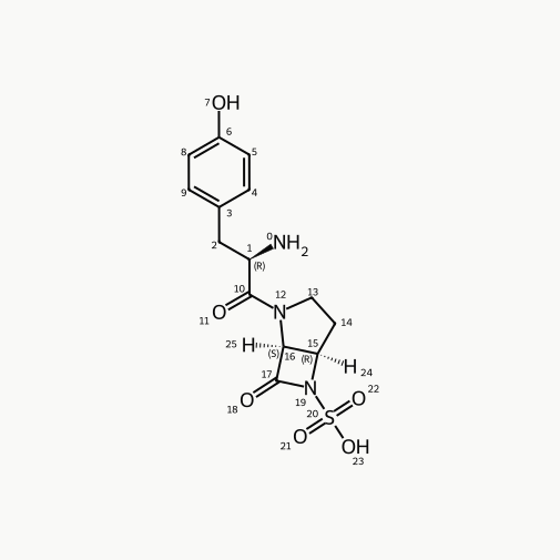 N[C@H](Cc1ccc(O)cc1)C(=O)N1CC[C@@H]2[C@H]1C(=O)N2S(=O)(=O)O